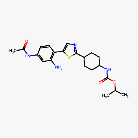 CC(=O)Nc1ccc(-c2cnc(C3CCC(NC(=O)OC(C)C)CC3)s2)c(N)c1